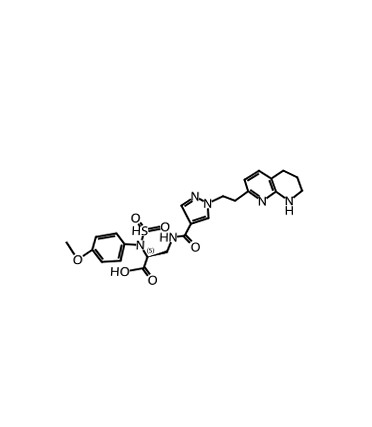 COc1ccc(N([C@@H](CNC(=O)c2cnn(CCc3ccc4c(n3)NCCC4)c2)C(=O)O)[SH](=O)=O)cc1